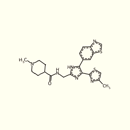 Cc1csc(-c2nc(CNC(=O)C3CCN(C)CC3)[nH]c2-c2ccc3ncsc3c2)n1